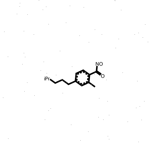 Cc1cc(CCCC(C)C)ccc1C(=O)N=O